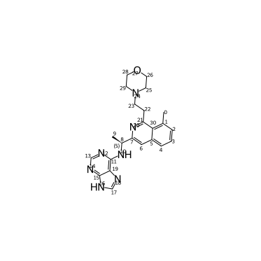 Cc1cccc2cc([C@H](C)Nc3ncnc4[nH]cnc34)nc(CCN3CCOCC3)c12